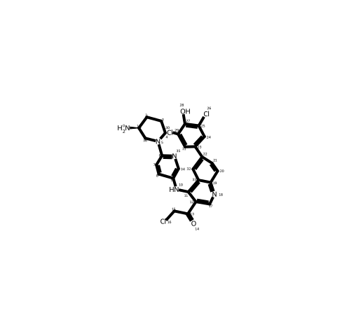 N[C@H]1CCCN(c2ccc(Nc3c(C(=O)CCl)cnc4ccc(-c5cc(Cl)c(O)c(Cl)c5)cc34)cn2)C1